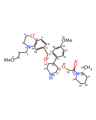 COCCCN1CCOc2ccc(CO[C@H]3CNC[C@@H](OCC(=O)N4CCCC[C@H]4C)C3c3ccc(OC)cc3)cc21